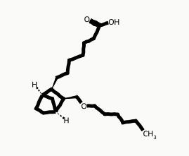 CCCCCCOC[C@H]1[C@H]2CC[C@H](C2)[C@H]1CCCCCCC(=O)O